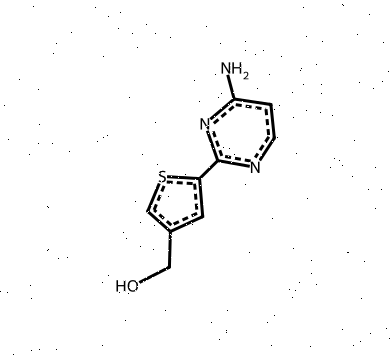 Nc1ccnc(-c2cc(CO)cs2)n1